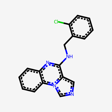 Clc1ccccc1CNc1nc2ccccc2n2cncc12